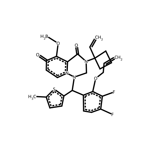 BOc1c2n(ccc1=O)N(C(c1ccc(C)s1)c1ccc(F)c(F)c1OCC=C)CN(C1(C=C)CCC1)C2=O